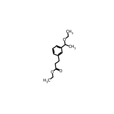 CCOC(=O)CCc1cccc(C(C)OCC)c1